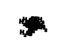 COc1ccc(-n2c(C(C)=O)c(C)c(OC(C)=O)c2C(=O)N(C)C)cc1